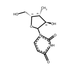 C[C@H]1[C@@H](CO)OC(n2ccc(=O)[nH]c2=O)[C@@H]1O